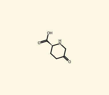 O=C1CC[C@@H](C(=O)O)NC1